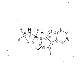 CC1C2c3ccccc3S[C@@H]2C([Si](C)(C)NC(C)(C)C)[C@@H]1C